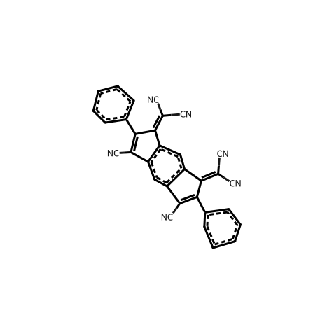 N#CC(C#N)=C1C(c2ccccc2)=C(C#N)c2cc3c(cc21)C(=C(C#N)C#N)C(c1ccccc1)=C3C#N